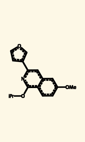 COc1ccc2c(OC(C)C)nc(-c3ccoc3)cc2c1